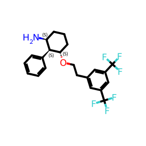 N[C@H]1CCC[C@H](OCCc2cc(C(F)(F)F)cc(C(F)(F)F)c2)[C@H]1c1ccccc1